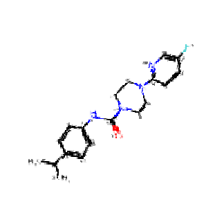 CC(C)c1ccc(NC(=O)N2CCN(c3ccc(F)cn3)CC2)cc1